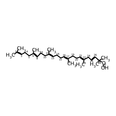 CC(C)=CCC/C(C)=C/CC/C(C)=C/CC/C=C(\C)CC/C=C(\C)C/C=C/C(C)(C)OO